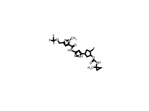 Cn1nc(COC(F)(F)F)cc1C(=O)Nc1cc(C2CC(F)C(OC(=O)NC3(C)CC3)C2)[nH]n1